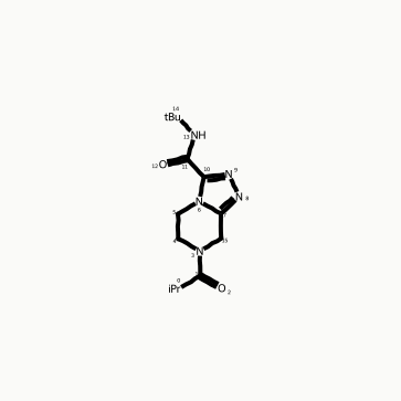 CC(C)C(=O)N1CCn2c(nnc2C(=O)NC(C)(C)C)C1